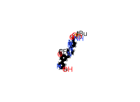 CC(C)(C)S(=O)(=O)NC(=O)c1ccc(N2CCN(Cc3cc(OC(F)(F)F)cc(-c4cncc(O)c4)c3)CC2)nn1